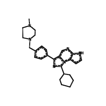 CN1CCN(Cc2ccc(-c3nc(C4CCCCC4)n4c3cnc3[nH]ccc34)cc2)CC1